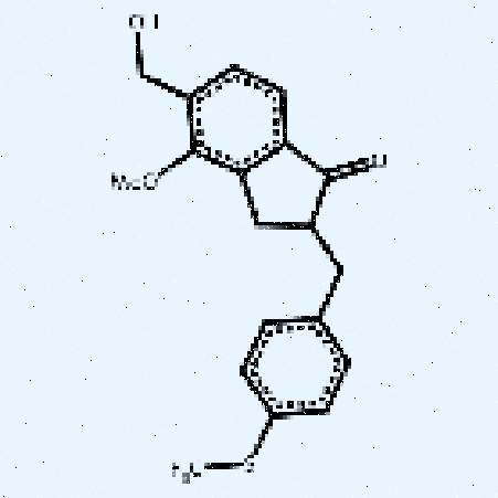 COc1c(CO)ccc2c1CC(Cc1ccc(SC(F)(F)F)cc1)C2=O